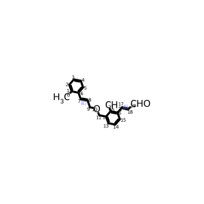 Cc1ccccc1/C=C/COCc1cccc(/C=C/C=O)c1C